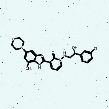 Cc1cc(N2CCOCC2)cc2nc(-c3cccn(NC[C@@H](O)c4cccc(Cl)c4)c3=O)[nH]c12